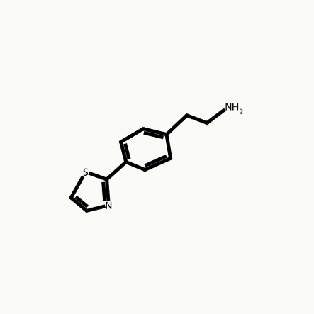 N[CH]Cc1ccc(-c2nccs2)cc1